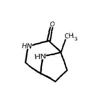 CC12CCC(CNC1=O)N2